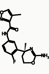 Cc1conc1C(=O)Nc1ccc(F)c([C@]2(C)CCOC(N)=N2)c1